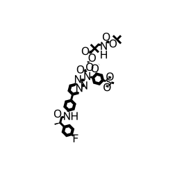 COc1cc(S(C)(=O)=O)ccc1N(C(=O)OCOC(=O)C(C)(C)CNC(=O)OC(C)(C)C)c1nc2ccc(-c3ccc(NC(=O)[C@H](C)c4ccc(F)cc4)cc3)cn2n1